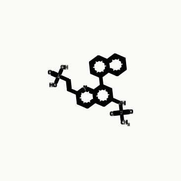 CS(=O)(=O)Nc1cc(-c2cccc3ccccc23)c2nc(C=CP(=O)(O)O)ccc2c1